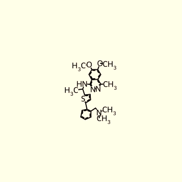 COc1cc2c(C)nnc(NC(C)c3ccc(-c4ccccc4CN(C)C)s3)c2cc1OC